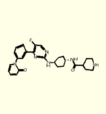 O=C(N[C@H]1CC[C@H](Nc2ncc(F)c(-c3cccc(-n4ccccc4=O)c3)n2)CC1)C1CCNCC1